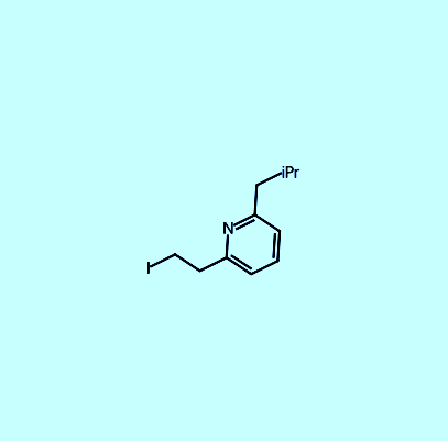 CC(C)Cc1cccc(CCI)n1